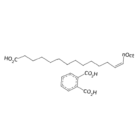 CCCCCCCC/C=C\CCCCCCCCCCCC(=O)O.O=C(O)c1ccccc1C(=O)O